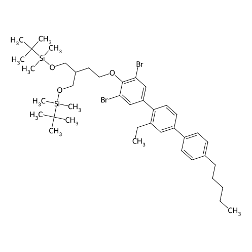 CCCCCc1ccc(-c2ccc(-c3cc(Br)c(OCCC(CO[Si](C)(C)C(C)(C)C)CO[Si](C)(C)C(C)(C)C)c(Br)c3)c(CC)c2)cc1